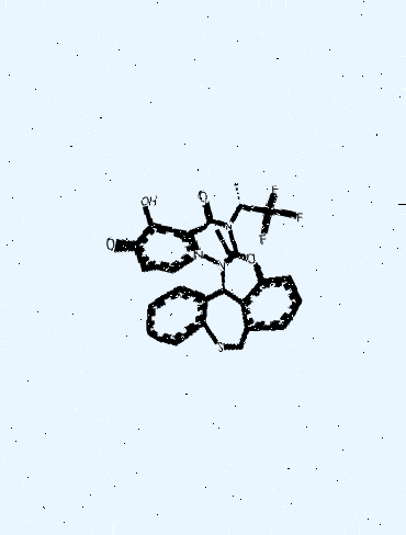 CCOc1cccc2c1[C@H](N1CN([C@H](C)C(F)(F)F)C(=O)c3c(O)c(=O)ccn31)c1ccccc1SC2